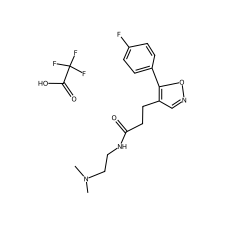 CN(C)CCNC(=O)CCc1cnoc1-c1ccc(F)cc1.O=C(O)C(F)(F)F